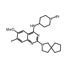 COc1cc2c(NC3CCN(C(C)C)CC3)nc(N3CCC4(CCCC4)C3)nc2cc1I